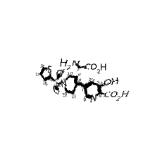 NCC(=O)O.O=C(O)c1ncc(C2=CCN(S(=O)(=O)c3cccs3)CC2)cc1O